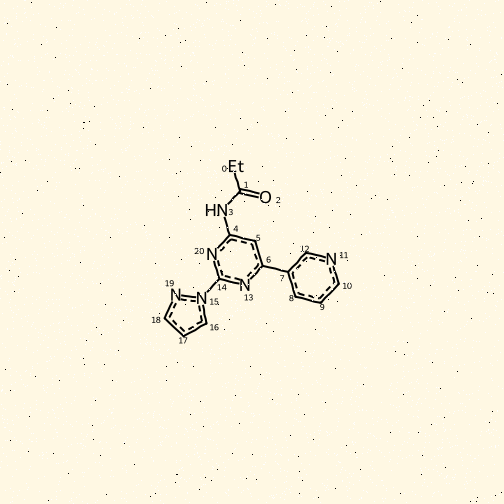 CCC(=O)Nc1cc(-c2cccnc2)nc(-n2cccn2)n1